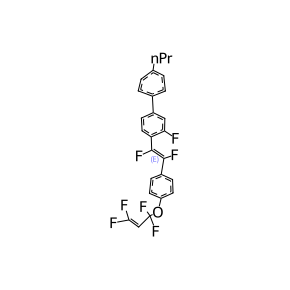 CCCc1ccc(-c2ccc(/C(F)=C(\F)c3ccc(OC(F)(F)C=C(F)F)cc3)c(F)c2)cc1